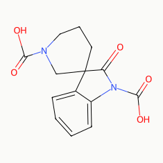 O=C(O)N1CCCC2(C1)C(=O)N(C(=O)O)c1ccccc12